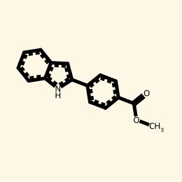 COC(=O)c1ccc(-c2cc3ccccc3[nH]2)cc1